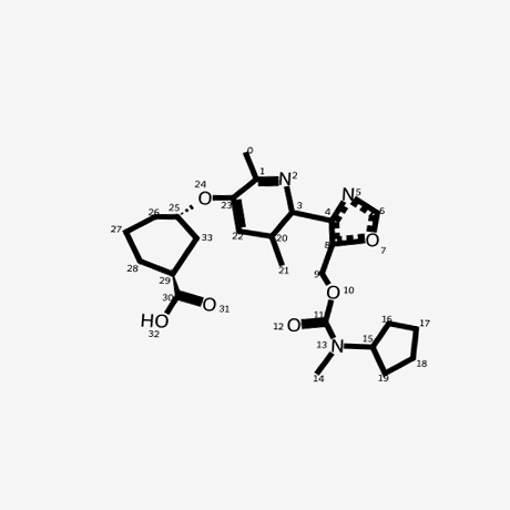 CC1=NC(c2ncoc2COC(=O)N(C)C2CCCC2)C(C)C=C1O[C@H]1CCC[C@H](C(=O)O)C1